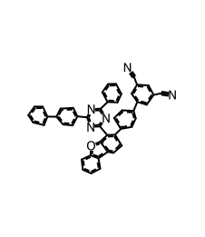 N#Cc1cc(C#N)cc(-c2ccc(-c3ccc4c(oc5ccccc54)c3-c3nc(-c4ccccc4)nc(-c4ccc(-c5ccccc5)cc4)n3)cc2)c1